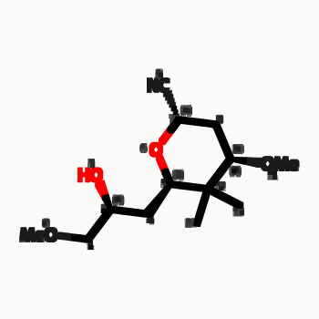 COC[C@@H](O)C[C@H]1O[C@H](C#N)C[C@@H](OC)C1(C)C